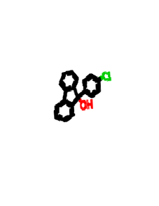 OC1(c2ccc(Cl)cc2)c2ccccc2-c2ccccc21